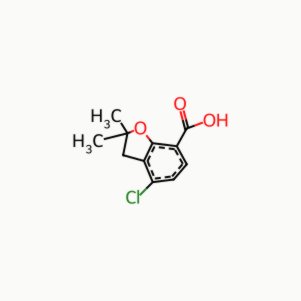 CC1(C)Cc2c(Cl)ccc(C(=O)O)c2O1